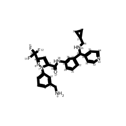 NCc1cccc(-n2nc(C(F)(F)F)cc2C(=O)Nc2cccc(C(NCC3CC3)c3ccncc3)c2)c1